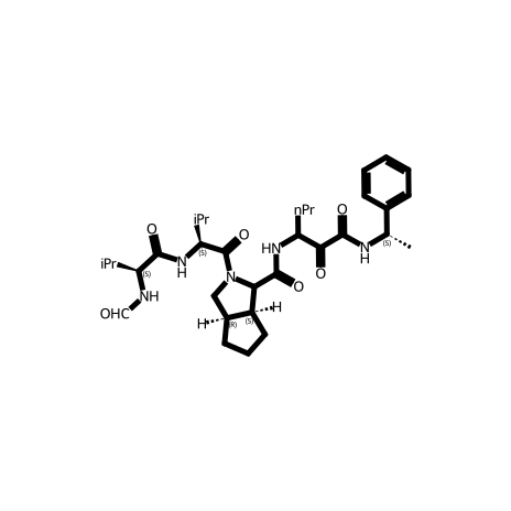 CCCC(NC(=O)C1[C@H]2CCC[C@H]2CN1C(=O)[C@@H](NC(=O)[C@@H](NC=O)C(C)C)C(C)C)C(=O)C(=O)N[C@@H](C)c1ccccc1